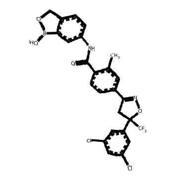 Cc1cc(C2=NOC(c3cc(Cl)cc(Cl)c3)(C(F)(F)F)C2)ccc1C(=O)Nc1ccc2c(c1)B(O)OC2